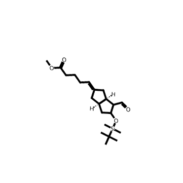 COC(=O)CCC/C=C1\C[C@@H]2CC(O[Si](C)(C)C(C)(C)C)C(C=O)[C@@H]2C1